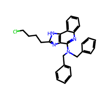 ClCCCCc1nc2c(N(Cc3ccccc3)Cc3ccccc3)nc3ccccc3c2[nH]1